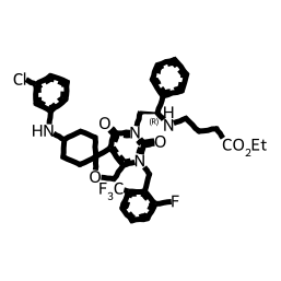 CCOC(=O)CCCN[C@@H](Cn1c(=O)c2c(n(Cc3c(F)cccc3C(F)(F)F)c1=O)COC21CCC(Nc2cccc(Cl)c2)CC1)c1ccccc1